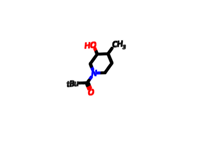 CC1CCN(C(=O)C(C)(C)C)CC1O